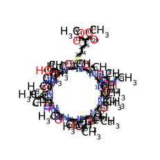 C/C=C/C[C@@H](C)C[C@@]1(NO)C(=O)N[C@@H](CC)C(=O)N(C)[C@H](CSCCCCC(C(=O)OC)C(=O)OC)C(=O)N(C)[C@@H](CC(C)(C)O)C(=O)N[C@H](C(C)C)C(=O)N(C)[C@H](CCC(C)C)C(=O)N[C@H](C)C(=O)N[C@@H](C)C(=O)N(C)[C@@H](CC(C)C)C(=O)N(C)[C@@H](CC(C)C)C(=O)N(C)[C@@H](C(C)C)C(=O)N1C